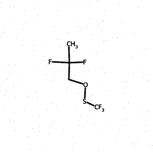 CC(F)(F)COSC(F)(F)F